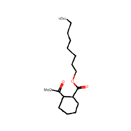 CCCCCCCCCCCCCCCCCOC(=O)C1CCCCC1C(=O)OC